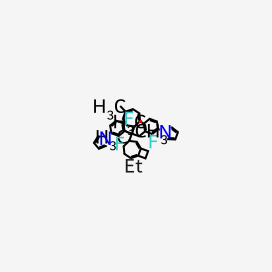 CCC1=C2CCC2=CC(C)(C(Cc2c(C)ccc(-n3cccc3)c2F)(c2c(F)ccc(-n3cccc3)c2F)C2(C)C=CC=C(C)CC2)CC1